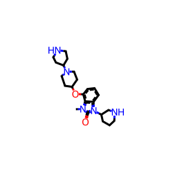 Cn1c(=O)n(C2CCCNC2)c2cccc(OC3CCN(C4CCNCC4)CC3)c21